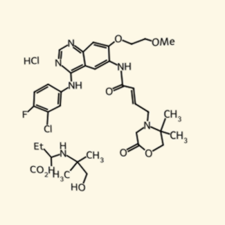 CCC(NC(C)(C)CO)C(=O)O.COCCOc1cc2ncnc(Nc3ccc(F)c(Cl)c3)c2cc1NC(=O)C=CCN1CC(=O)OCC1(C)C.Cl